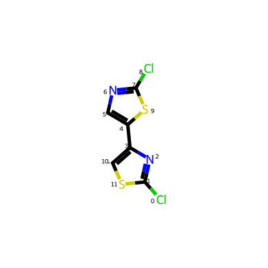 Clc1nc(-c2cnc(Cl)s2)[c]s1